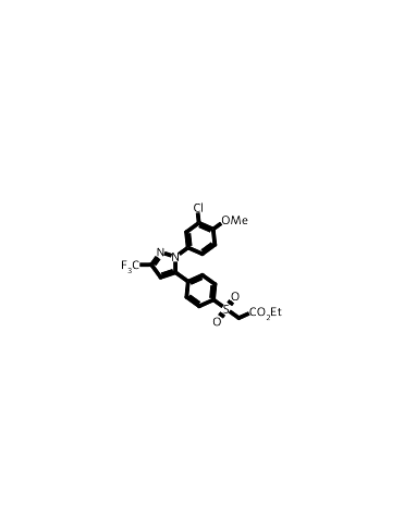 CCOC(=O)CS(=O)(=O)c1ccc(-c2cc(C(F)(F)F)nn2-c2ccc(OC)c(Cl)c2)cc1